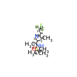 Cc1cc(C(C)N[S@+]([O-])C(C)(C)C)cnc1CCC(F)(F)F